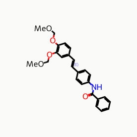 COCOc1ccc(/C=C/c2ccc(NC(=O)c3ccccc3)cc2)cc1OCOC